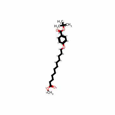 COC(=O)CCCCCCCCCCCOc1ccc(C(=O)OC(C)(C)C)cc1